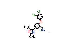 CNCc1cc(-c2nc(C)oc2C)ccc1Oc1ccc(Cl)c(Cl)c1